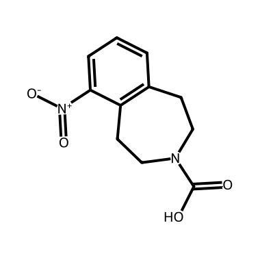 O=C(O)N1CCc2cccc([N+](=O)[O-])c2CC1